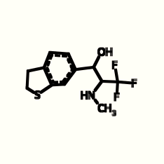 CNC(C(O)c1ccc2c(c1)SCC2)C(F)(F)F